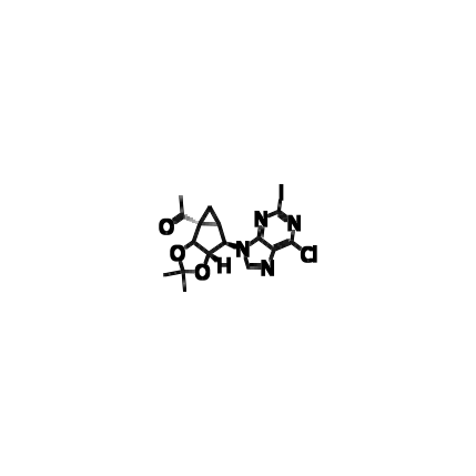 CC(=O)[C@]12CC1[C@@H](n1cnc3c(Cl)nc(I)nc31)[C@@H]1OC(C)(C)OC12